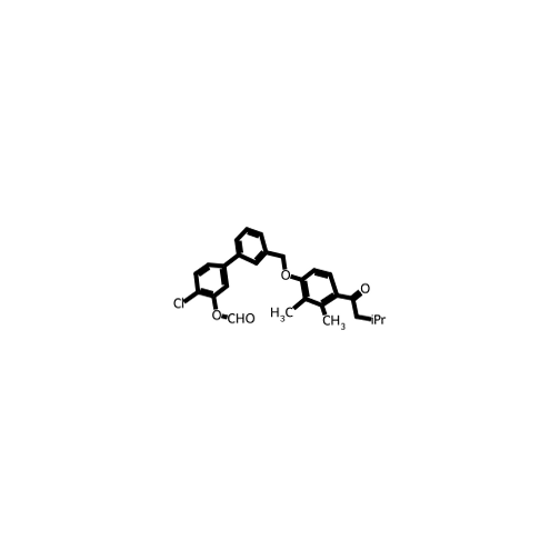 Cc1c(OCc2cccc(-c3ccc(Cl)c(OC=O)c3)c2)ccc(C(=O)CC(C)C)c1C